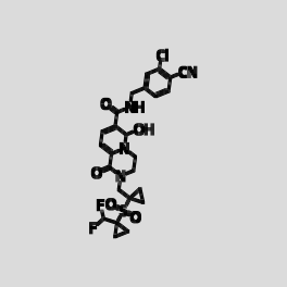 N#Cc1ccc(CNC(=O)C2=CC=C3C(=O)N(CC4(S(=O)(=O)C5(C(F)F)CC5)CC4)CCN3C2O)cc1Cl